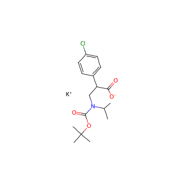 CC(C)N(CC(C(=O)[O-])c1ccc(Cl)cc1)C(=O)OC(C)(C)C.[K+]